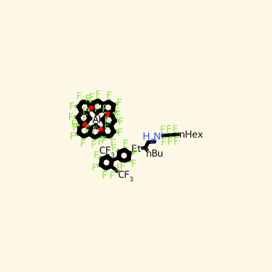 CCCCCCC(F)(F)C(F)(F)C(F)(F)[NH2+]CCC(CC)CCCC.Fc1c(F)c(F)c(-c2c(C(F)(F)F)c(F)c(F)c(F)c2C(F)(F)C(F)(F)F)c(F)c1F.Fc1c(F)c(F)c2[c]([Al-]([c]3c(F)c(F)c(F)c4c(F)c(F)c(F)c(F)c34)([c]3c(F)c(F)c(F)c4c(F)c(F)c(F)c(F)c34)[c]3c(F)c(F)c(F)c4c(F)c(F)c(F)c(F)c34)c(F)c(F)c(F)c2c1F